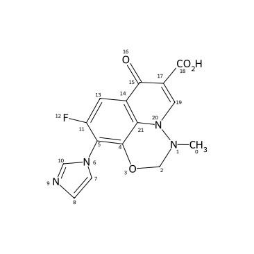 CN1COc2c(-n3ccnc3)c(F)cc3c(=O)c(C(=O)O)cn1c23